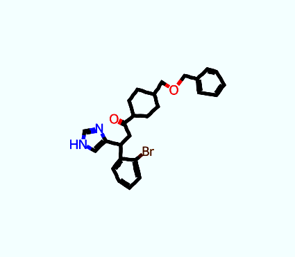 O=C(CC(c1c[nH]cn1)c1ccccc1Br)C1CCC(COCc2ccccc2)CC1